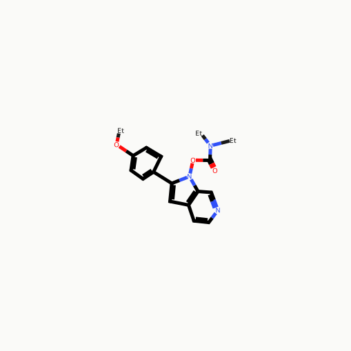 CCOc1ccc(-c2cc3ccncc3n2OC(=O)N(CC)CC)cc1